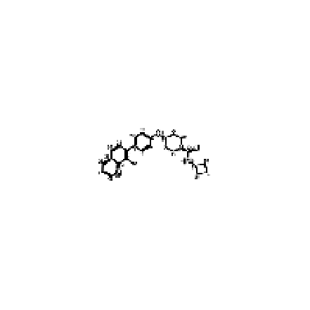 Cc1c(-c2ccc(OC3CCN(C(=O)NC4CCC4)CC3)cc2)ccc2cccnc12